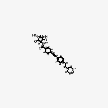 CNC(=O)[C@@](C)(C(=O)NO)N(C)C(=O)c1ccc(C#Cc2ccc(CCN3CCOCC3)cc2)cc1